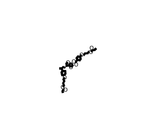 C=CC(=O)OCCCCOc1ccc(C(=C)CC[C@@H]2COC3C(OC(=O)c4ccc(OCCCCOC(=O)C=C)cc4)COC32)cc1